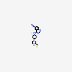 N#Cc1ccc2ncnc(NC3CCC(N4CCOC(CF)C4)CC3)c2c1